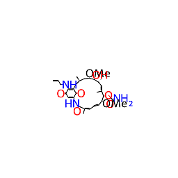 C=CCNC1=C2C[C@@H](C)C[C@@H](OC)[C@@H](O)[C@H](C)/C=C(\C)[C@@H](OC(N)=O)[C@@H](OC)/C=C/C=C(/C)C(=O)NC(=CC1=O)C2=O